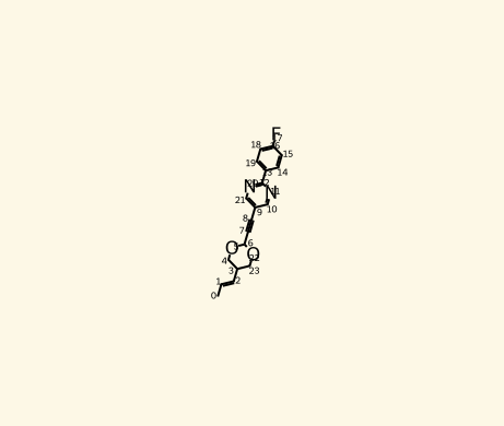 C/C=C/C1COC(C#Cc2cnc(-c3ccc(F)cc3)nc2)OC1